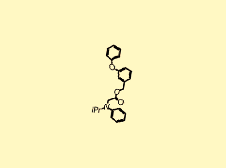 CC(C)N(CC(=O)OCc1cccc(Oc2ccccc2)c1)c1ccccc1